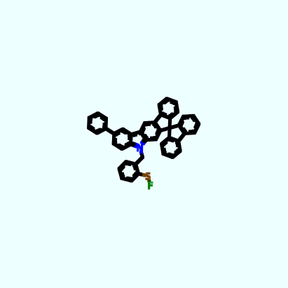 FSc1ccccc1Cn1c2ccc(-c3ccccc3)cc2c2cc3c(cc21)C1(c2ccccc2-c2ccccc21)c1ccccc1-3